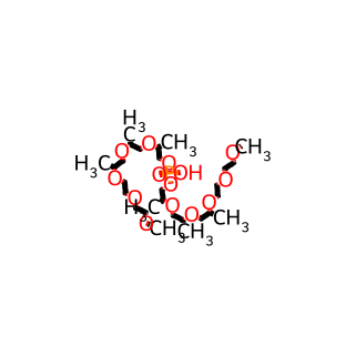 COCCOCCOC(C)COC(C)COC(C)COP(=O)(O)OCC(C)OCC(C)OCC(C)OCCOCCOC